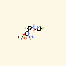 CC1(S(C)(=O)=O)CCC(c2cc(NC(=O)c3ccc(F)cn3)ccc2F)N=C1N